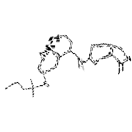 CCCC(C)(C)Sc1ccc2nccc(Nc3ccc4cn[nH]c4c3)c2c1